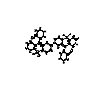 CC1(C)c2ccc(-c3ccc4c(c3)B3c5ccccc5Oc5cccc(c53)[Si]4(C)C)cc2B2c3ccccc3Oc3cccc1c32